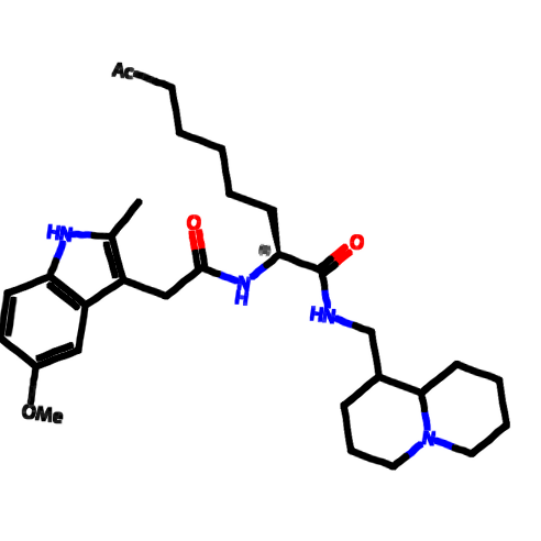 COc1ccc2[nH]c(C)c(CC(=O)N[C@@H](CCCCCC(C)=O)C(=O)NCC3CCCN4CCCCC34)c2c1